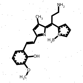 Bn1cccc1/C(CCN)=C1N=C(/C=C/c2cccc(OC)c2O)C=C\1C